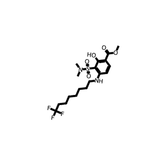 COC(=O)c1ccc(NCCCCCCCC(F)(F)F)c(S(=O)(=O)N(C)C)c1O